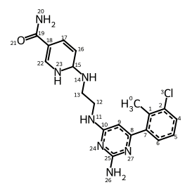 Cc1c(Cl)cccc1-c1cc(NCCNC2C=CC(C(N)=O)=CN2)nc(N)n1